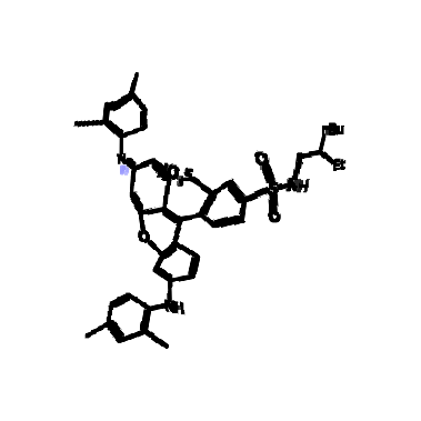 CCCCC(CC)CNS(=O)(=O)c1ccc(-c2c3cc/c(=N\c4ccc(C)cc4C)cc-3oc3cc(Nc4ccc(C)cc4C)ccc23)c(S(=O)(=O)O)c1